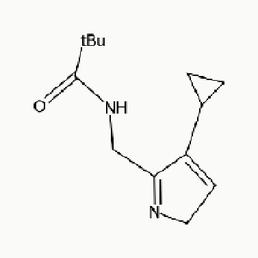 CC(C)(C)C(=O)NCC1=NCC=C1C1CC1